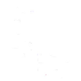 CC(CO)(Nc1nc2c(Cn3ccoc3=N)cccc2[nH]1)c1ccc(Cl)c(Cl)c1